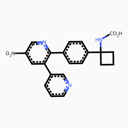 O=C(O)NC1(c2ccc(-c3ncc([N+](=O)[O-])cc3-c3cccnc3)cc2)CCC1